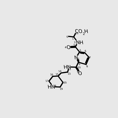 CC(NC(=O)c1cccc(C(=O)NCCC2CCNCC2)n1)C(=O)O